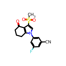 CS(=O)(=O)c1cn(-c2cc(F)cc(C#N)c2)c2c1C(=O)CCC2